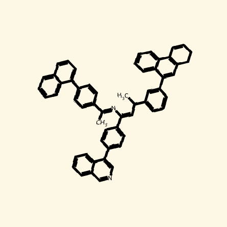 C/C(=N\C(=C/C(C)c1cccc(-c2cc3c(c4ccccc24)C=CCC3)c1)c1ccc(-c2cncc3ccccc23)cc1)c1ccc(-c2cccc3ccccc23)cc1